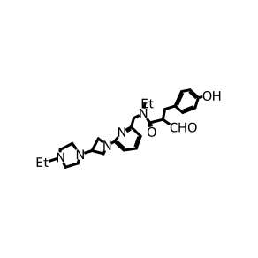 CCN1CCN(C2CN(c3cccc(CN(CC)C(=O)C(C=O)Cc4ccc(O)cc4)n3)C2)CC1